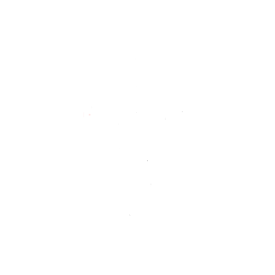 Cc1ccc([C@H](O)[C@@H](CO)C(C)(C)C)cc1